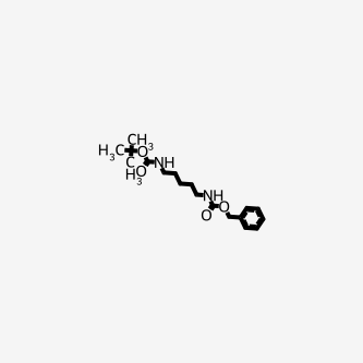 CC(C)(C)OC(=O)NCCCCCNC(=O)OCc1ccccc1